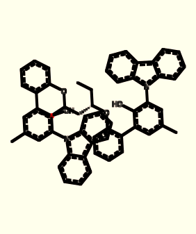 CCC(C[C@H](CC)Oc1ccccc1-c1cc(C)cc(-n2c3ccccc3c3ccccc32)c1O)Oc1ccccc1-c1cc(C)cc(-n2c3ccccc3c3ccccc32)c1O